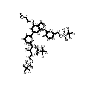 COCCOc1cc(-c2cccc([C@@H](N[S+]([O-])C(C)(C)C)C(F)CCO[Si](C)(C)C(C)(C)C)n2)cc2c1cnn2-c1cccc(CO[Si](C)(C)C(C)(C)C)n1